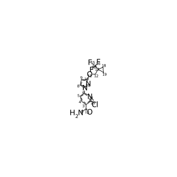 NC(=O)c1ccc(-n2ccc(OCC3(C(F)(F)F)CC3)n2)nc1Cl